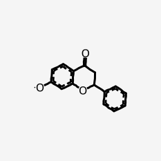 [O]c1ccc2c(c1)OC(c1ccccc1)CC2=O